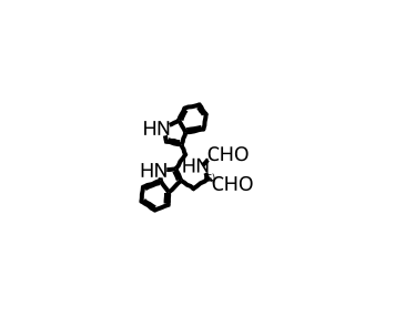 O=CN[C@H](C=O)Cc1c(Cc2c[nH]c3ccccc23)[nH]c2ccccc12